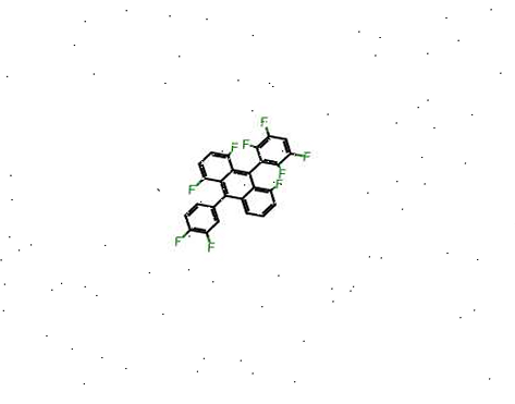 Fc1ccc(-c2c3cccc(F)c3c(-c3c(F)c(F)cc(F)c3F)c3c(F)ccc(F)c23)cc1F